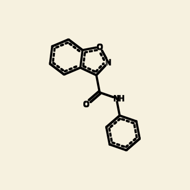 O=C(Nc1ccccc1)c1noc2ccccc12